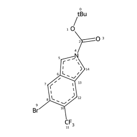 CC(C)(C)OC(=O)n1cc2cc(Br)c(C(F)(F)F)cc2c1